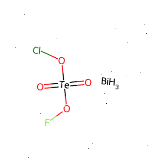 O=[Te](=O)(OF)OCl.[BiH3]